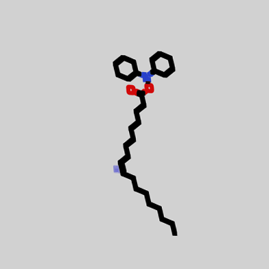 CCCCCCCC/C=C\CCCCCCCC(=O)ON(C1CCCCC1)C1CCCCC1